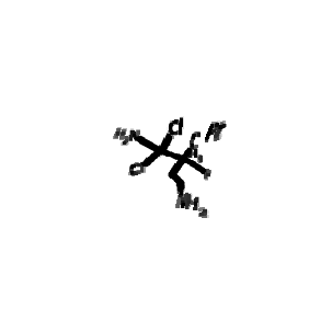 CC(F)(CN)C(N)(Cl)Cl.[Pt]